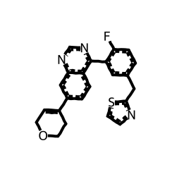 Fc1ccc(Cc2nccs2)cc1-c1ncnc2cc(C3=CCOCC3)ccc12